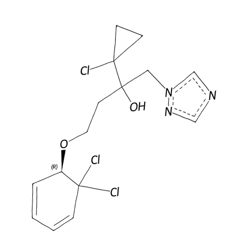 OC(CCO[C@@H]1C=CC=CC1(Cl)Cl)(Cn1cncn1)C1(Cl)CC1